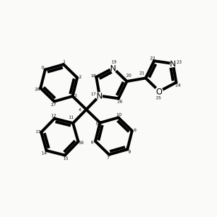 c1ccc(C(c2ccccc2)(c2ccccc2)n2cnc(-c3cnco3)c2)cc1